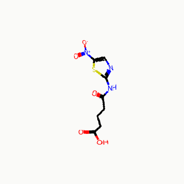 O=C(O)CCCC(=O)Nc1ncc([N+](=O)[O-])s1